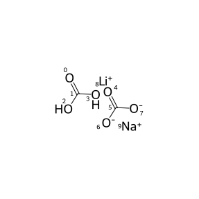 O=C(O)O.O=C([O-])[O-].[Li+].[Na+]